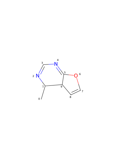 CC1N=CN=C2OC=CC21